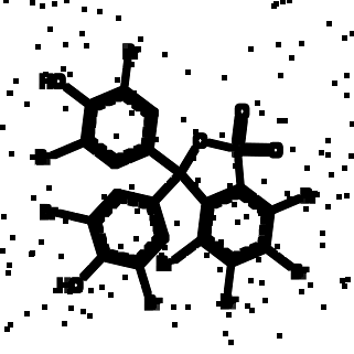 O=S1(=O)OC(c2cc(Br)c(O)c(Br)c2)(c2cc(Br)c(O)c(Br)c2)c2c(Br)c(Br)c(Br)c(Br)c21